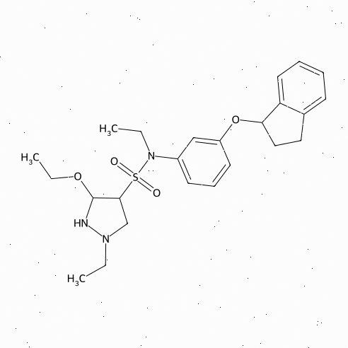 CCOC1NN(CC)CC1S(=O)(=O)N(CC)c1cccc(OC2CCc3ccccc32)c1